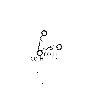 O=C(O)c1ccc(CCCSCc2ccccc2)c(CCCSCc2ccccc2)c1C(=O)O